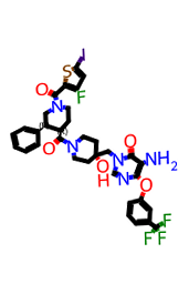 Nc1c(Oc2cccc(C(F)(F)F)c2)ncn(CC2(O)CCN(C(=O)[C@@H]3CCN(C(=O)c4sc(I)cc4F)C[C@H]3c3ccccc3)CC2)c1=O